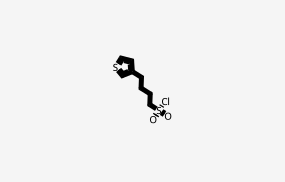 O=S(=O)(Cl)CCCCc1ccsc1